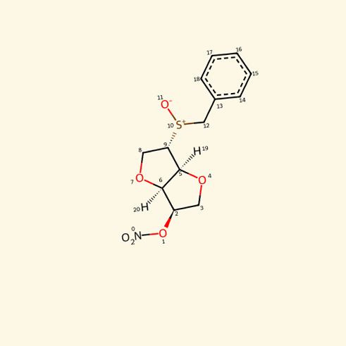 O=[N+]([O-])O[C@@H]1CO[C@H]2[C@@H]1OC[C@@H]2[S+]([O-])Cc1ccccc1